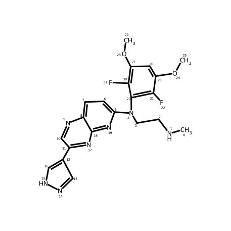 CNCCN(c1ccc2ncc(-c3cn[nH]c3)nc2n1)c1c(F)c(OC)cc(OC)c1F